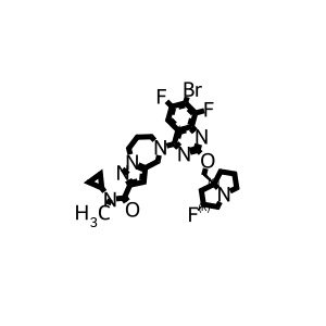 CN(C(=O)c1cc2n(n1)CCCN(c1nc(OC[C@@]34CCCN3C[C@H](F)C4)nc3c(F)c(Br)c(F)cc13)C2)C1CC1